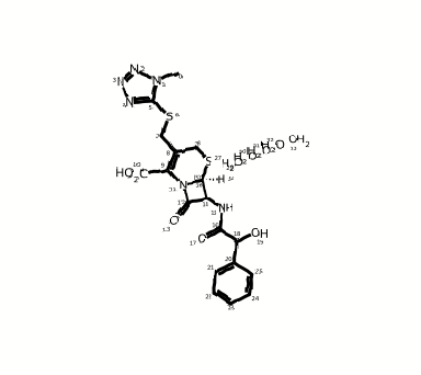 Cn1nnnc1SCC1=C(C(=O)O)N2C(=O)C(NC(=O)C(O)c3ccccc3)[C@@H]2SC1.O.O.O.O.O